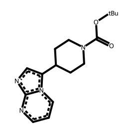 CC(C)(C)OC(=O)N1CCC(c2cnc3ncccn23)CC1